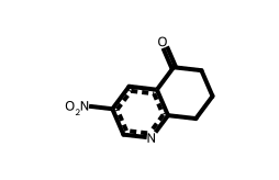 O=C1CCCc2ncc([N+](=O)[O-])cc21